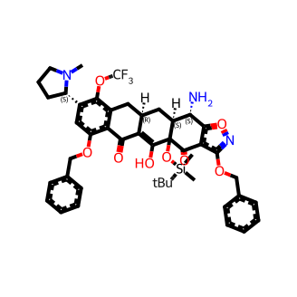 CN1CCC[C@H]1c1cc(OCc2ccccc2)c2c(c1OC(F)(F)F)C[C@H]1C[C@H]3[C@H](N)c4onc(OCc5ccccc5)c4C(=O)C3(O[Si](C)(C)C(C)(C)C)C(O)=C1C2=O